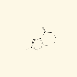 O=C1NCCn2nc(C(F)(F)F)cc21